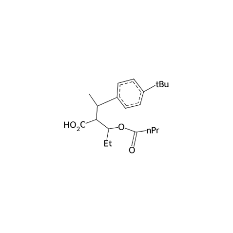 CCCC(=O)OC(CC)C(C(=O)O)C(C)c1ccc(C(C)(C)C)cc1